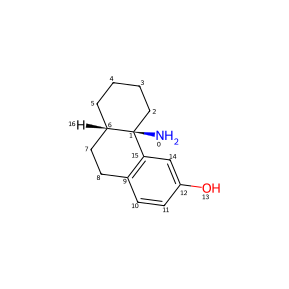 N[C@]12CCCC[C@H]1CCc1ccc(O)cc12